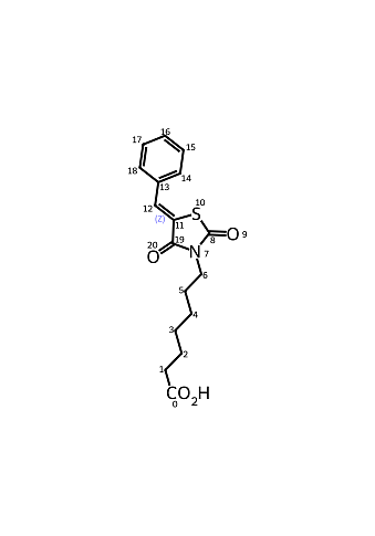 O=C(O)CCCCCCN1C(=O)S/C(=C\c2ccccc2)C1=O